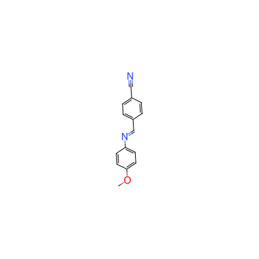 COc1ccc(N=Cc2ccc(C#N)cc2)cc1